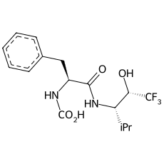 CC(C)[C@H](NC(=O)[C@H](Cc1ccccc1)NC(=O)O)[C@H](O)C(F)(F)F